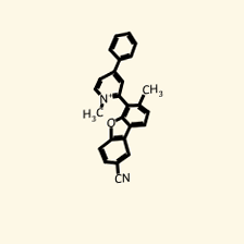 Cc1ccc2c(oc3ccc(C#N)cc32)c1-c1cc(-c2ccccc2)cc[n+]1C